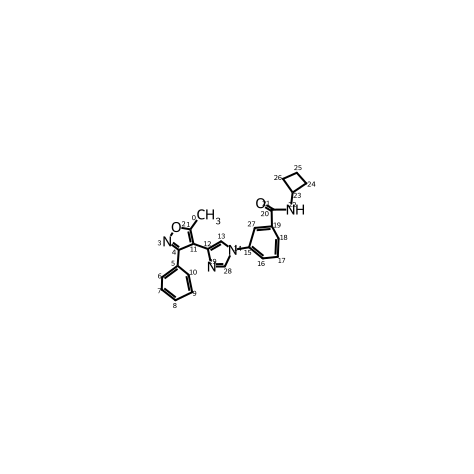 Cc1onc(-c2ccccc2)c1-c1cn(-c2cccc(C(=O)NC3CCC3)c2)cn1